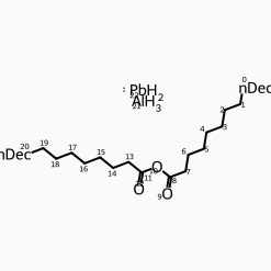 CCCCCCCCCCCCCCCCCC(=O)OC(=O)CCCCCCCCCCCCCCCCC.[AlH3].[PbH2]